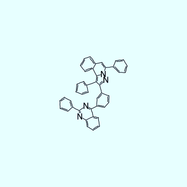 c1ccc(-c2nc(-c3cccc(-c4nn5c(-c6ccccc6)cc6ccccc6c5c4-c4ccccc4)c3)c3ccccc3n2)cc1